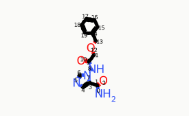 NC(=O)c1cncn1NC(=O)COCc1ccccc1